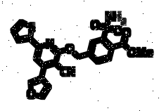 COC(=O)c1ccc(COc2nc(-c3cccs3)cc(-c3ccoc3)c2C#N)cc1S(N)(=O)=O